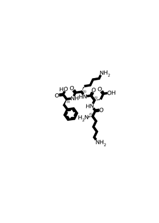 NCCCC[C@H](NC(=O)[C@H](CC(=O)O)NC(=O)[C@@H](N)CCCCN)C(=O)N[C@@H](Cc1ccccc1)C(=O)O